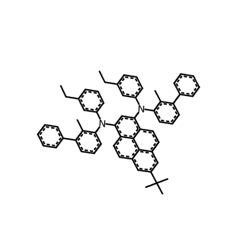 CCc1cccc(N(c2cccc(-c3ccccc3)c2C)c2cc(N(c3cccc(CC)c3)c3cccc(-c4ccccc4)c3C)c3ccc4cc(C(C)(C)C)cc5ccc2c3c54)c1